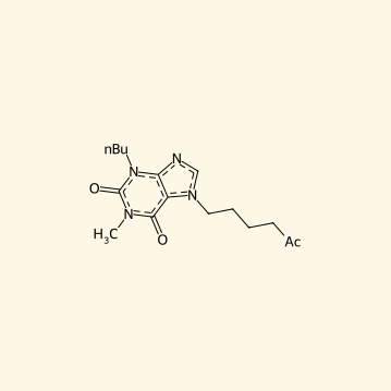 CCCCn1c(=O)n(C)c(=O)c2c1ncn2CCCCC(C)=O